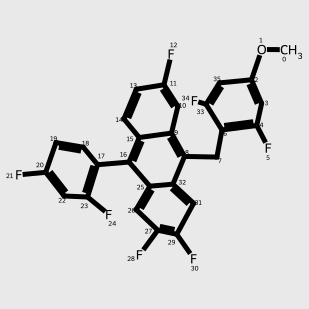 COc1cc(F)c(Cc2c3cc(F)ccc3c(-c3ccc(F)cc3F)c3cc(F)c(F)cc23)c(F)c1